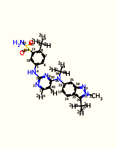 [2H]c1nc(Nc2ccc(C([2H])([2H])[2H])c(S(N)(=O)=O)c2)nc(N(c2ccc3c(C([2H])([2H])[2H])n(C)nc3c2)C([2H])([2H])[2H])c1[2H]